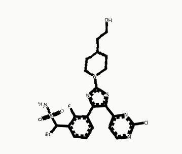 CCC(c1cccc(-c2nc(N3CCC(CCO)CC3)sc2-c2ccnc(Cl)n2)c1F)S(N)(=O)=O